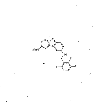 CNc1ccc2oc3ccc(NCc4c(F)ccc(F)c4F)cc3c2c1